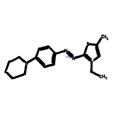 CC[n+]1cc(C)sc1/N=N/c1ccc(N2CCSCC2)cc1